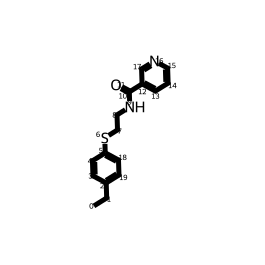 CCc1ccc(SCCNC(=O)c2cccnc2)cc1